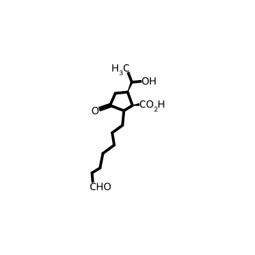 CC(O)[C@@H]1CC(=O)C(CCCCCCC=O)[C@@H]1C(=O)O